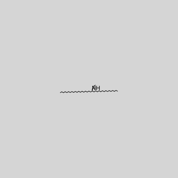 CCCCCCCCCCCCCCCCCCCC(CCCCCCCCCCCCCCC)CNCC